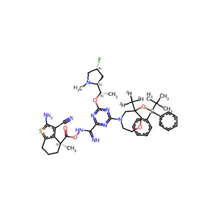 [2H]C([2H])([2H])C1(O[Si](c2ccccc2)(c2ccccc2)C(C)(C)C)COCCN(c2nc(O[C@@H](C)[C@@H]3C[C@@H](F)CN3C)nc(C(=N)NOC(=O)[C@@]3(C)CCCc4sc(N)c(C#N)c43)n2)C1